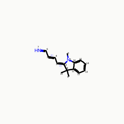 CN1/C(=C\C=C\C=N)C(C)(C)c2ccccc21